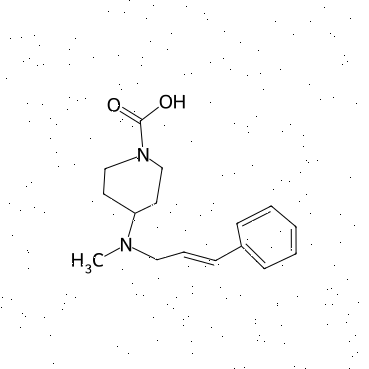 CN(C/C=C/c1ccccc1)C1CCN(C(=O)O)CC1